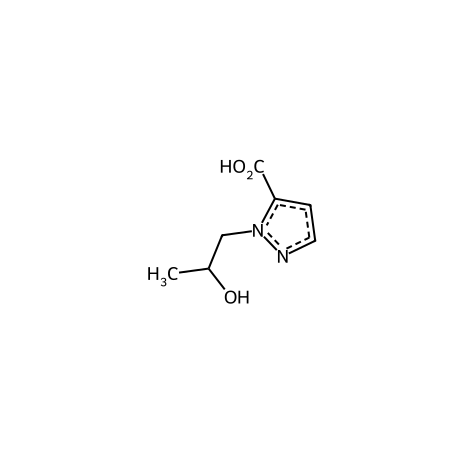 CC(O)Cn1nccc1C(=O)O